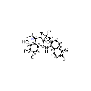 C/C=C1/CC(O)(C(F)(F)F)C(Nc2cccc3c(=O)n(C)ncc23)c2cc(Cl)c(F)c(O)c21